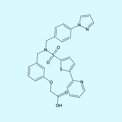 O=C(O)COc1cccc(CN(Cc2ccc(-n3cccn3)cc2)S(=O)(=O)c2ccc(-c3ccccn3)s2)c1